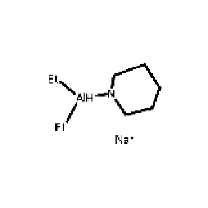 C[CH2][AlH-]([CH2]C)[N]1CCCCC1.[Na+]